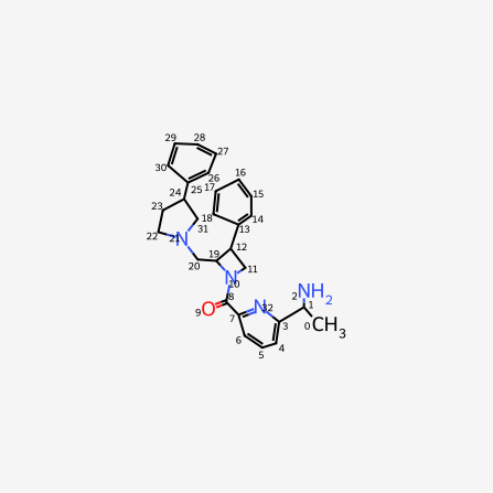 CC(N)c1cccc(C(=O)N2CC(c3ccccc3)C2CN2CCC(c3ccccc3)C2)n1